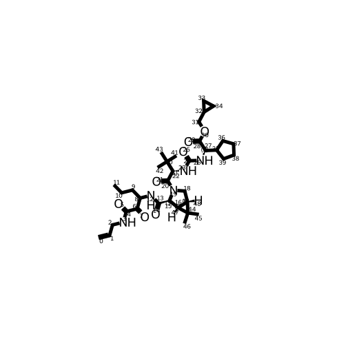 C=CCNC(=O)C(=O)C(CCC)NC(=O)[C@@H]1[C@@H]2[C@H](CN1C(=O)[C@@H](NC(=O)N[C@H](C(=O)OCC1CC1)C1CCCC1)C(C)(C)C)C2(C)C